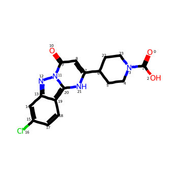 O=C(O)N1CCC(c2cc(=O)n3nc4cc(Cl)ccc4c3[nH]2)CC1